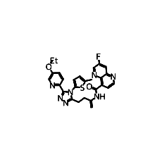 C=C(CCc1nnc(-c2ccc(OCC)cn2)n1-c1ccc(C)s1)NC(=O)c1ccnc2cc(F)cnc12